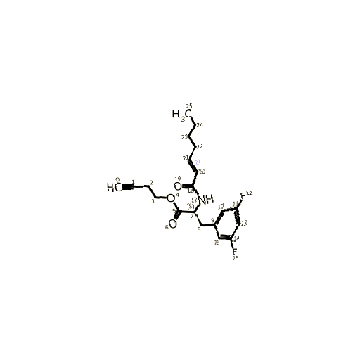 C#CCCOC(=O)[C@H](Cc1cc(F)cc(F)c1)NC(=O)/C=C/CCCC